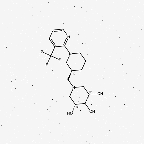 OC1[C@H](O)CN(C[C@@H]2CCCN(c3ncccc3C(F)(F)F)C2)C[C@@H]1O